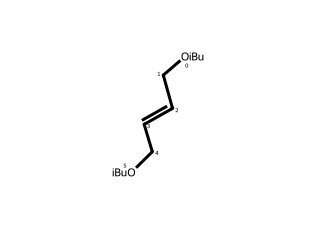 CC(C)COC/C=C/COCC(C)C